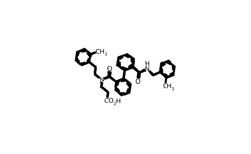 Cc1ccccc1CCN(CCC(=O)O)C(=O)c1ccccc1-c1ccccc1C(=O)NCc1ccccc1C